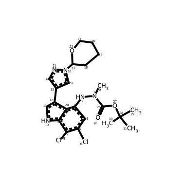 CN(Nc1cc(Cl)c(Cl)c2[nH]cc(-c3cnn(C4CCCCO4)c3)c12)C(=O)OC(C)(C)C